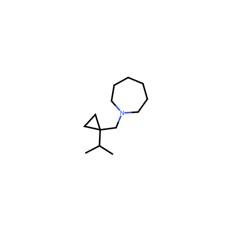 CC(C)C1(CN2CCCCCC2)CC1